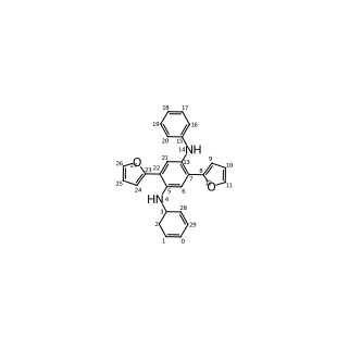 C1=CCC(Nc2cc(-c3ccco3)c(Nc3ccccc3)cc2-c2ccco2)C=C1